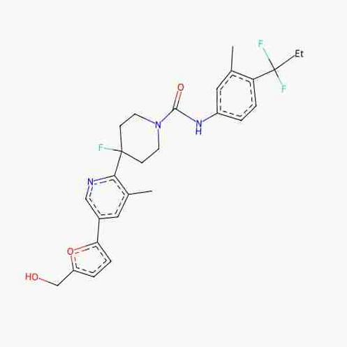 CCC(F)(F)c1ccc(NC(=O)N2CCC(F)(c3ncc(-c4ccc(CO)o4)cc3C)CC2)cc1C